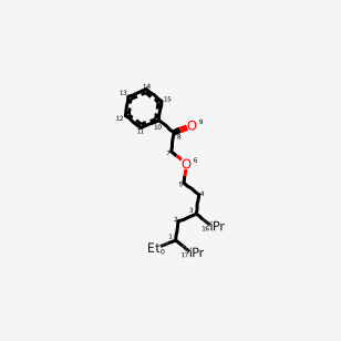 CCC(CC(CCOCC(=O)c1ccccc1)C(C)C)C(C)C